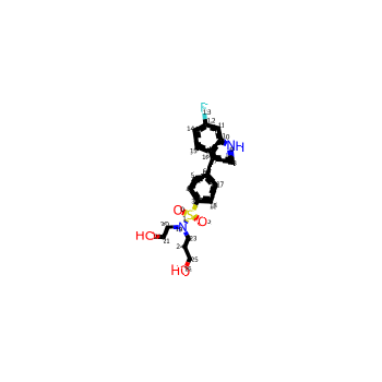 O=S(=O)(c1ccc(-c2c[nH]c3cc(F)ccc23)cc1)N(CCO)CCCO